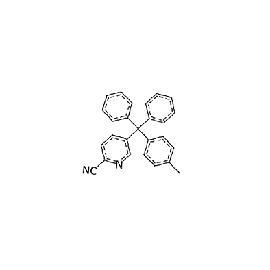 Cc1ccc(C(c2ccccc2)(c2ccccc2)c2ccc(C#N)nc2)cc1